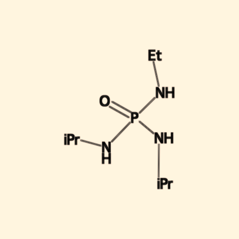 CCNP(=O)(NC(C)C)NC(C)C